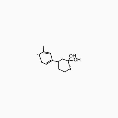 CC1=CC(C2CCSC(O)(O)C2)=CC[CH]1